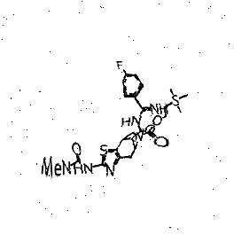 CNC(=O)Nc1nc2c(s1)C1CN(C(=O)OCCS(C)(C)C)C(C2)C1C(=O)NC(=N)c1ccc(F)cc1